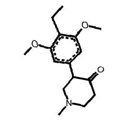 CCc1c(OC)cc(C2CN(C)CCC2=O)cc1OC